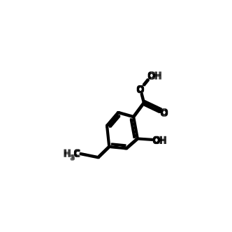 CCc1ccc(C(=O)OO)c(O)c1